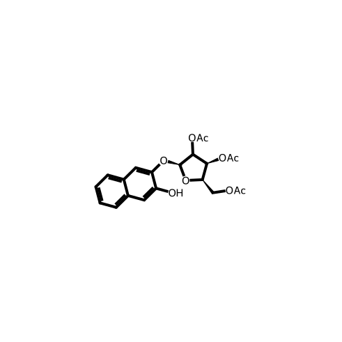 CC(=O)OC[C@H]1O[C@@H](Oc2cc3ccccc3cc2O)C(OC(C)=O)[C@H]1OC(C)=O